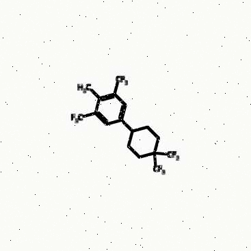 Cc1c(C(F)(F)F)cc(C2CCC(C(F)(F)F)(C(F)(F)F)CC2)cc1C(F)(F)F